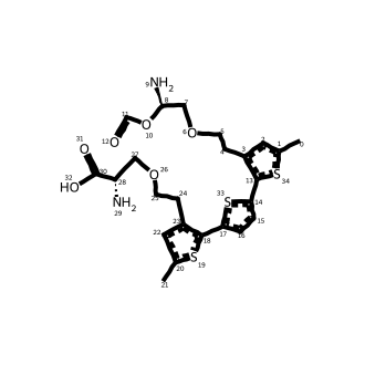 Cc1cc(CCOC[C@H](N)OC=O)c(-c2ccc(-c3sc(C)cc3CCOC[C@H](N)C(=O)O)s2)s1